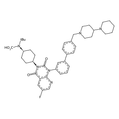 CC(C)(C)N(C(=O)O)[C@H]1CC[C@@H](n2c(=O)c3cc(F)cnc3n(-c3cccc(-c4ccc(CN5CCC(N6CCCCC6)CC5)cc4)c3)c2=O)CC1